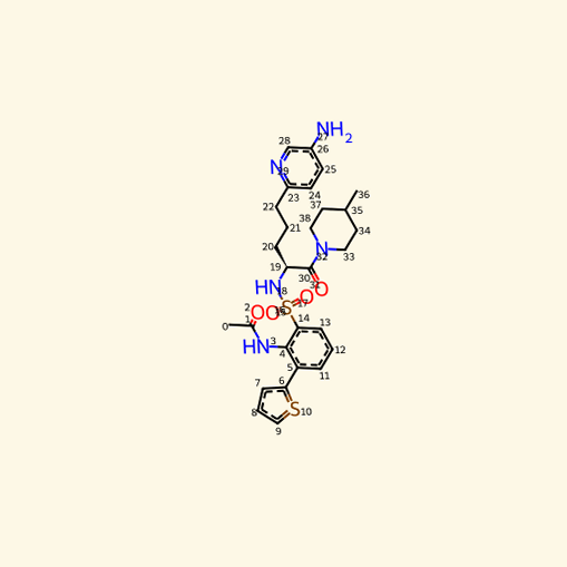 CC(=O)Nc1c(-c2cccs2)cccc1S(=O)(=O)N[C@@H](CCCc1ccc(N)cn1)C(=O)N1CCC(C)CC1